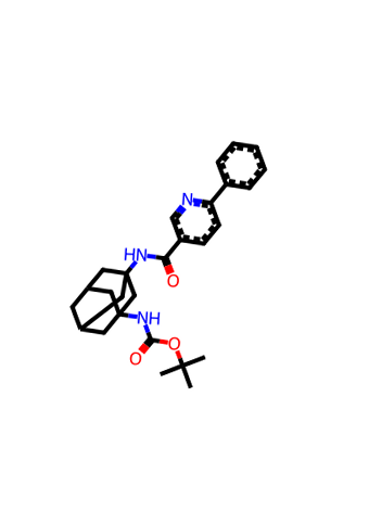 CC(C)(C)OC(=O)NC12CC3CC(C1)CC(NC(=O)c1ccc(-c4ccccc4)nc1)(C3)C2